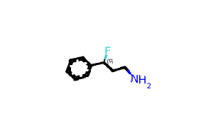 NCC[C@H](F)c1ccccc1